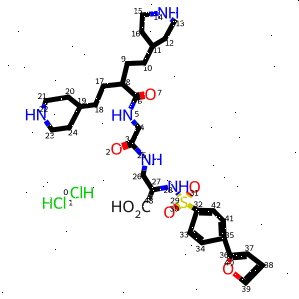 Cl.Cl.O=C(CNC(=O)C(CCC1CCNCC1)CCC1CCNCC1)NCC(NS(=O)(=O)c1ccc(-c2ccco2)cc1)C(=O)O